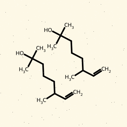 C=CC(C)CCCC(C)(C)O.C=CC(C)CCCC(C)(C)O